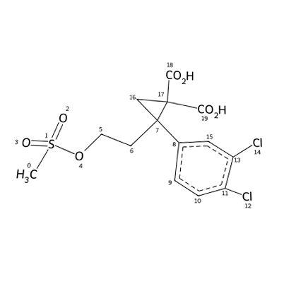 CS(=O)(=O)OCCC1(c2ccc(Cl)c(Cl)c2)CC1(C(=O)O)C(=O)O